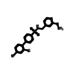 COc1cc(CNS(=O)(=O)c2ccc(-c3ccc(Cl)cc3Cl)cc2)ccn1